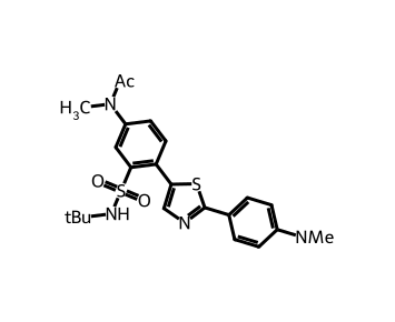 CNc1ccc(-c2ncc(-c3ccc(N(C)C(C)=O)cc3S(=O)(=O)NC(C)(C)C)s2)cc1